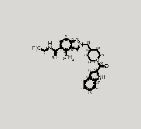 Cc1c(C(=O)NCC(F)(F)F)ccc2nn(CC3CCN(C(=O)c4cc5ccccc5[nH]4)CC3)cc12